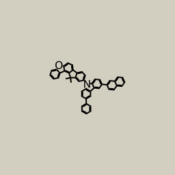 CC1(C)c2cc(-n3c4ccc(-c5ccccc5)cc4c4cc(-c5ccc6ccccc6c5)ccc43)ccc2-c2ccc3oc4ccccc4c3c21